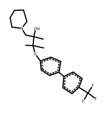 CC(O)(CN1CCCCC1)C(C)(C)Oc1ccc(-c2ccc(C(F)(F)F)cc2)cc1